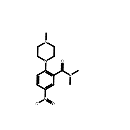 CN1CCN(c2ccc([N+](=O)[O-])cc2C(=O)N(C)C)CC1